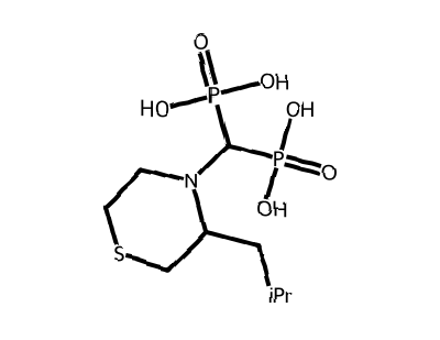 CC(C)CC1CSCCN1C(P(=O)(O)O)P(=O)(O)O